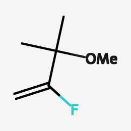 C=C(F)C(C)(C)OC